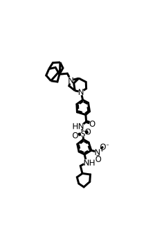 O=C(NS(=O)(=O)c1ccc(NCC2CCCCC2)c([N+](=O)[O-])c1)c1ccc(N2CCC3CC2CN3CC23CC4CC(CC(C4)C2)C3)cc1